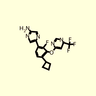 Nc1cnc(-c2ccc(C3CCC3)c(Oc3cc(C(F)(F)F)ncn3)c2F)cn1